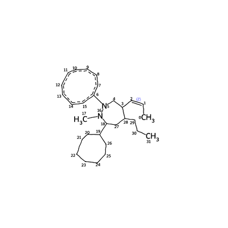 C/C=C\C1CN(c2ccccccccc2)N(C)C(C2CCCCCCC2)CC1CCC